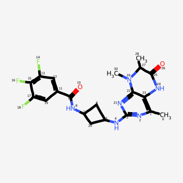 Cc1nc(NC2CC(NC(=O)c3cc(F)c(F)c(F)c3)C2)nc2c1NC(=O)C(C)N2C